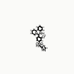 N[C@@H](c1ccc(S(=O)(=O)Nc2ncns2)cc1Cl)N1CCCC[C@@H]1c1ccccc1